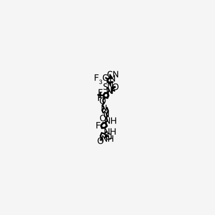 CC(F)(F)c1cc(N2C(=S)N(c3cnc(C#N)c(C(F)(F)F)c3)C(=O)C2(C)C)ccc1OCCN1CCN(CC(=O)Nc2cc(F)cc(NC3CCC(=O)NC3=O)c2)CC1